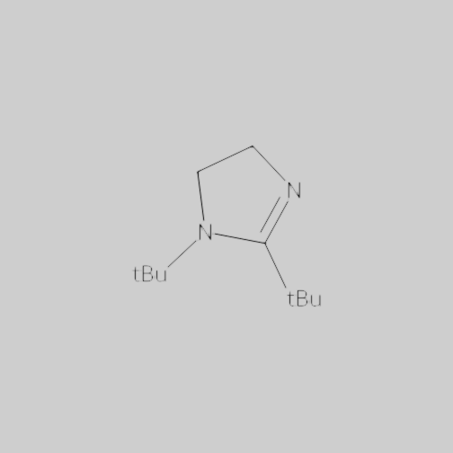 CC(C)(C)C1=NCCN1C(C)(C)C